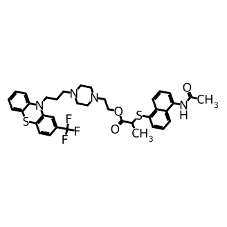 CC(=O)Nc1cccc2c(SC(C)C(=O)OCCN3CCN(CCCN4c5ccccc5Sc5ccc(C(F)(F)F)cc54)CC3)cccc12